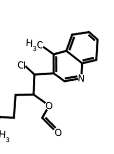 CCCCC(OC=O)C(Cl)c1cnc2ccccc2c1C